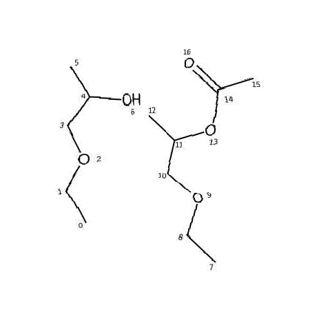 CCOCC(C)O.CCOCC(C)OC(C)=O